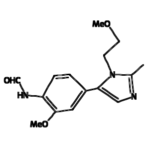 COCCn1c(-c2ccc(NC=O)c(OC)c2)cnc1C